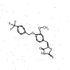 COc1cc(C=C2SC(=S)NC2=O)ccc1OCc1ccc(C(F)(F)F)cc1